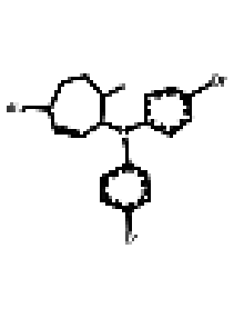 CCC(C)C1C=CC(N(c2ccc(Br)cc2)c2ccc(Br)cc2)C(C)CC1